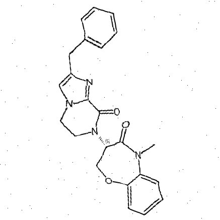 CN1C(=O)[C@@H](N2CCn3cc(Cc4ccccc4)nc3C2=O)COc2ccccc21